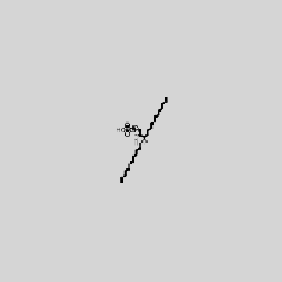 CCCCCCCCCCCCOC(CCCCCCCCCCCC)C(O)CO.O=S(=O)(O)O